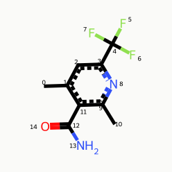 Cc1cc(C(F)(F)F)nc(C)c1C(N)=O